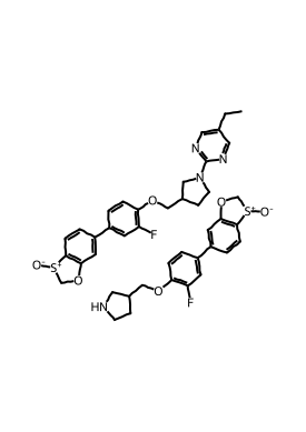 CCc1cnc(N2CCC(COc3ccc(-c4ccc5c(c4)OC[S+]5[O-])cc3F)C2)nc1.[O-][S+]1COc2cc(-c3ccc(OCC4CCNC4)c(F)c3)ccc21